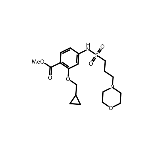 COC(=O)c1ccc(NS(=O)(=O)CCCN2CCOCC2)cc1OCC1CC1